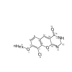 CCCCCCOc1ccc2c(c1Cl)OC1=NCNC(=O)C1=C2